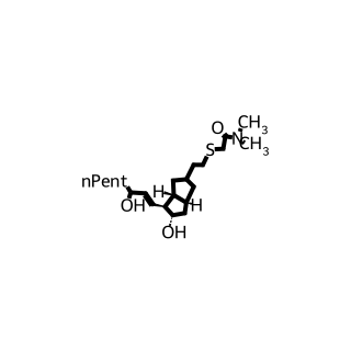 CCCCCC(O)C=C[C@H]1[C@@H]2CC(CCSCC(=O)N(C)C)C[C@H]2C[C@@H]1O